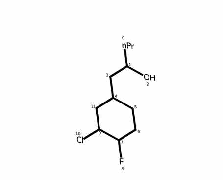 CCCC(O)CC1CCC(F)C(Cl)C1